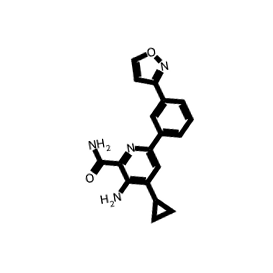 NC(=O)c1nc(-c2cccc(-c3ccon3)c2)cc(C2CC2)c1N